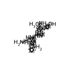 C[C@H](N)C(=O)N[C@@H](Cc1ccc(O)cc1)C(=O)N1CCC[C@H]1C(=O)NCC(=O)N[C@@H](CCCCN)C(=O)N[C@@H](Cc1ccccc1)C(N)=O